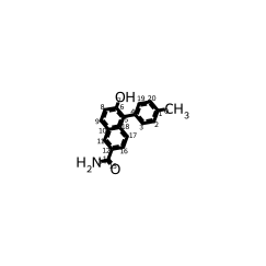 Cc1ccc(-c2c(O)ccc3cc(C(N)=O)ccc23)cc1